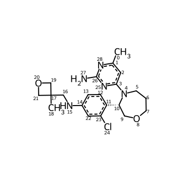 Cc1cc(N2CCCOC[C@@H]2c2ccc(NCC3(C)COC3)cc2Cl)nc(N)n1